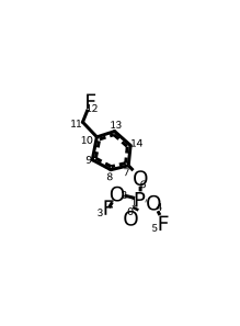 O=P(OF)(OF)Oc1ccc(CF)cc1